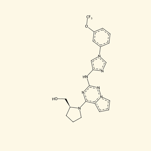 OC[C@@H]1CCCN1c1nc(Nc2cn(-c3cccc(OC(F)(F)F)c3)cn2)nn2cccc12